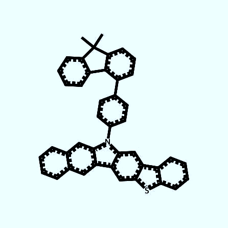 CC1(C)c2ccccc2-c2c(-c3ccc(-n4c5cc6ccccc6cc5c5cc6sc7ccccc7c6cc54)cc3)cccc21